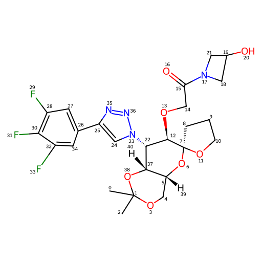 CC1(C)OC[C@H]2O[C@@]3(CCCO3)[C@H](OCC(=O)N3CC(O)C3)[C@@H](n3cc(-c4cc(F)c(F)c(F)c4)nn3)[C@H]2O1